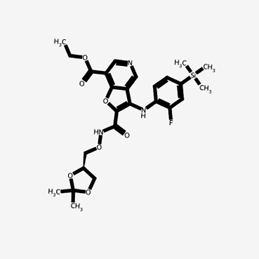 CCOC(=O)c1cncc2c(Nc3ccc([Si](C)(C)C)cc3F)c(C(=O)NOC[C@H]3COC(C)(C)O3)oc12